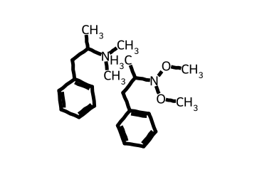 CC(Cc1ccccc1)N(C)C.CON(OC)C(C)Cc1ccccc1